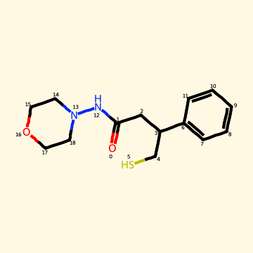 O=C(CC(CS)c1ccccc1)NN1CCOCC1